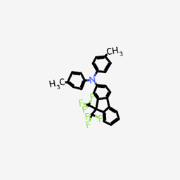 Cc1ccc(N(c2ccc(C)cc2)c2ccc3c(c2)C(C(F)(F)F)(C(F)(F)F)c2ccccc2-3)cc1